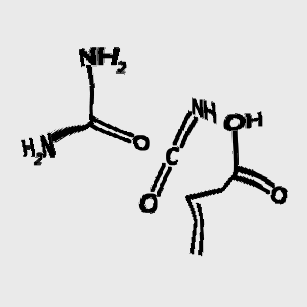 C=CC(=O)O.N=C=O.NC(N)=O